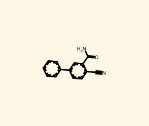 N#Cc1ccc(-c2ccccc2)cc1C(N)=O